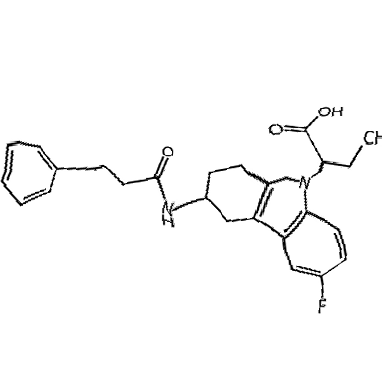 CCC(C(=O)O)n1c2c(c3cc(F)ccc31)CC(NC(=O)CCc1ccccc1)CC2